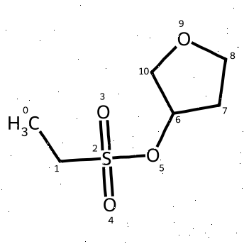 CCS(=O)(=O)OC1CCOC1